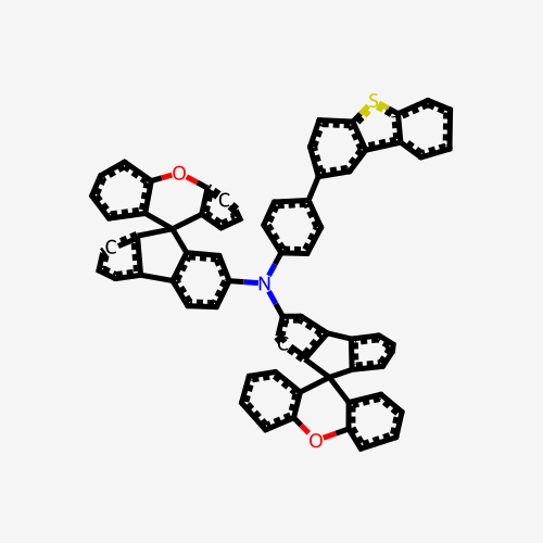 c1ccc2c(c1)Oc1ccccc1C21c2ccccc2-c2cc(N(c3ccc(-c4ccc5sc6ccccc6c5c4)cc3)c3ccc4c(c3)C3(c5ccccc5Oc5ccccc53)c3ccccc3-4)ccc21